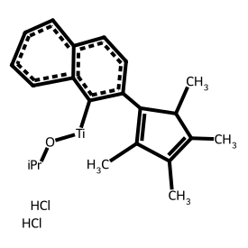 CC1=C(C)C(C)C(c2ccc3ccccc3[c]2[Ti][O]C(C)C)=C1C.Cl.Cl